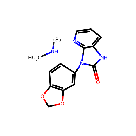 CCCCNC(=O)O.O=c1[nH]c2cccnc2n1-c1ccc2c(c1)OCO2